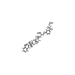 O=S(=O)(CCO)c1cccc(OCC(O)CNC2COC3(CCN(S(=O)(=O)c4cnc5ccccc5c4)CC3)C2)c1